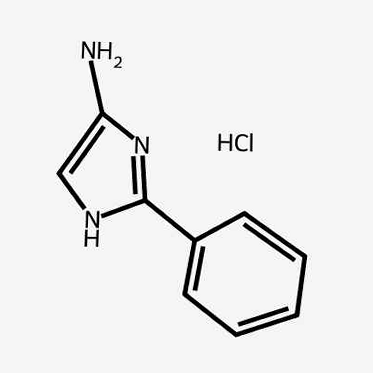 Cl.Nc1c[nH]c(-c2ccccc2)n1